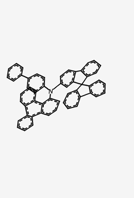 c1ccc(-c2ccc(N(c3ccc4c(c3)C3(c5ccccc5-c5ccccc53)c3ccccc3-4)c3cccc4c5ccccc5c5ccccc5c34)cc2)cc1